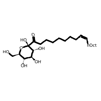 CCCCCCCC/C=C\CCCCCCCC(=O)[C@@]1(O)O[C@H](CO)[C@@H](O)[C@H](O)[C@H]1O